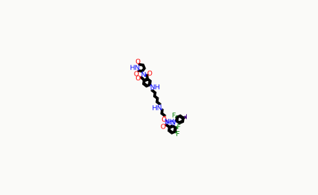 O=C1CCC(N2C(=O)c3ccc(NCCCCCCNCCCONC(=O)c4ccc(F)c(F)c4Nc4ccc(I)cc4F)cc3C2=O)C(=O)N1